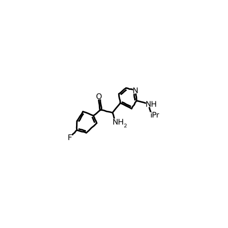 CC(C)Nc1cc(C(N)C(=O)c2ccc(F)cc2)ccn1